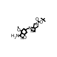 COc1cc(Cn2ncc3c2CN(C(=O)OC(C)(C)C)C3)cc2onc(N)c12